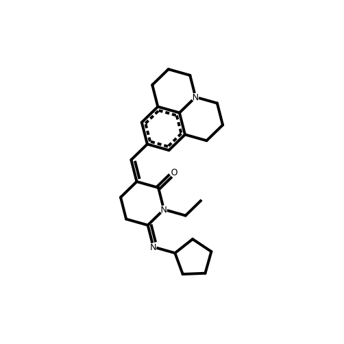 CCN1C(=O)/C(=C\c2cc3c4c(c2)CCCN4CCC3)CC/C1=N/C1CCCC1